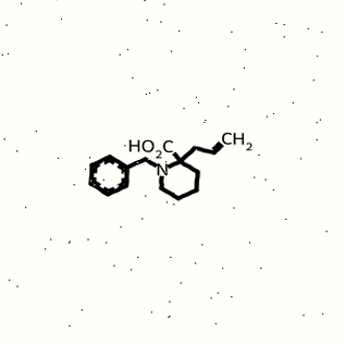 C=CCC1(C(=O)O)CCCCN1Cc1ccccc1